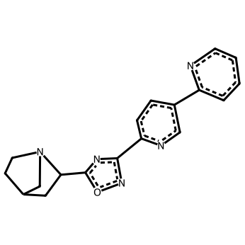 c1ccc(-c2ccc(-c3noc(C4CC5CCN4C5)n3)nc2)nc1